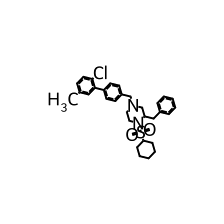 Cc1ccc(Cl)c(-c2ccc(CN3CCN(S(=O)(=O)C4CCCCC4)C(Cc4ccccc4)C3)cc2)c1